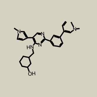 C=C/C(=C\N(C)C)c1cccc(-c2ncc(-c3ccn(C)c3)c(NCC3CCCC(O)C3)n2)c1